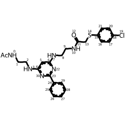 CC(=O)NCCNc1cc(NCCNC(=O)CSc2ccc(Cl)cc2)nc(-c2ccccc2)n1